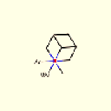 CC(=O)N(C)C1C2CC1CN(C(C)(C)C)C2